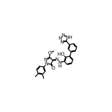 COC1=NN(c2ccc(C)c(C)c2)C(=O)C1=NNc1cccc(-c2cccc(-c3nnn[nH]3)c2)c1O